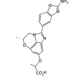 CC(Oc1cc2c3c(c1)nc(-c1ccc4oc(N)nc4c1)n3C[C@@H](C)O2)C(=O)O